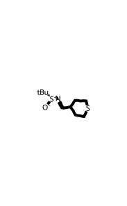 CC(C)(C)[S@+]([O-])/N=C/C1CCSCC1